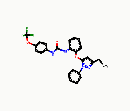 CCc1cc(Oc2ccccc2NC(=O)Nc2ccc(OC(F)(F)F)cc2)n(-c2ccccc2)n1